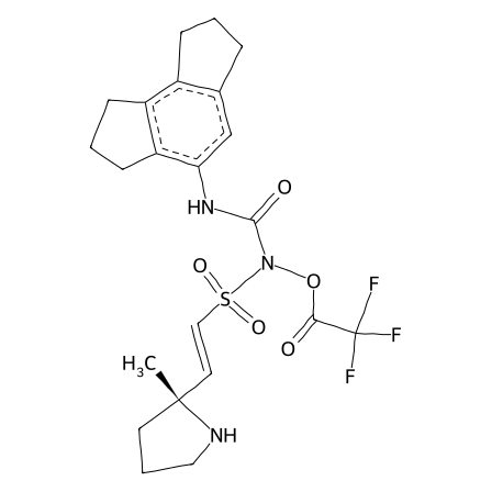 C[C@]1(/C=C/S(=O)(=O)N(OC(=O)C(F)(F)F)C(=O)Nc2cc3c(c4c2CCC4)CCC3)CCCN1